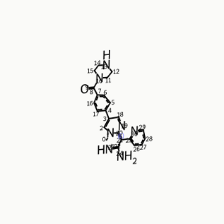 CN1C=C(c2ccc(C(=O)N3CCNCC3)cc2)C=N/C1=C(/C(=N)N)c1ccccn1